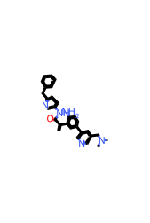 C=C(C(=O)Nc1ccc(Cc2ccccc2)nc1)c1cc(-c2cncc(CN(C)C)c2)ccc1N